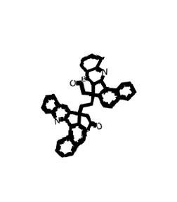 O=C(Br)CC1(CCC2(CC(=O)Br)c3ccc4ccccc4c3C3N=C4CCCCC4CC32)c2cc3ccccc3nc2-c2c1ccc1ccccc21